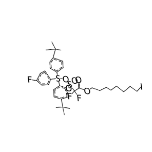 CC(C)(C)c1ccc(S(OS(=O)(=O)C(F)(F)C(=O)OCCCCCCCCI)(c2ccc(F)cc2)c2ccc(C(C)(C)C)cc2)cc1